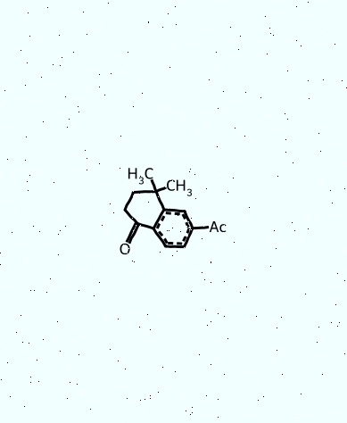 CC(=O)c1ccc2c(c1)C(C)(C)CCC2=O